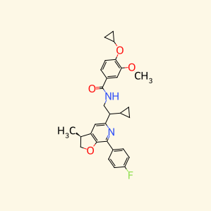 COc1cc(C(=O)NCC(c2cc3c(c(-c4ccc(F)cc4)n2)OC[C@H]3C)C2CC2)ccc1OC1CC1